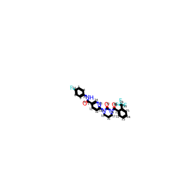 O=C(Nc1ccc(F)cc1)c1ccc(N2CCCN(C(=O)c3ccccc3C(F)(F)F)C2=O)nc1